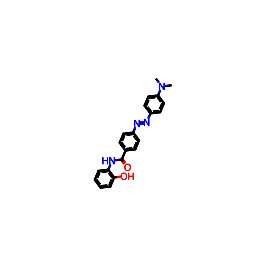 CN(C)c1ccc(N=Nc2ccc(C(=O)Nc3ccccc3O)cc2)cc1